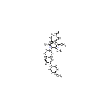 CC/C(C)=C(/C(C)=C(/C)c1nccc(=O)[nH]1)N1CCc2ncc(-c3ccc(C)nc3)cc2C1